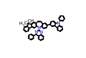 CC1(C)c2ccccc2-c2cc3c(cc21)C=Cc1cc(-c2ccc4c(c2)c2ccccc2n4-c2ccccc2)ccc1N3c1nc(-c2ccccc2)c2ccccc2n1